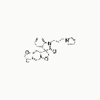 O=C1N(CCCn2cccc2)c2ccccc2C12COc1cc3c(cc12)OCO3